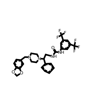 O=C(NCC(c1ccccc1)N1CCN(Cc2ccc3c(c2)OCO3)CC1)Nc1cc(C(F)(F)F)cc(C(F)(F)F)c1